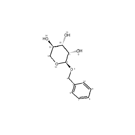 O[C@@H]1[C@@H](OCc2ccccc2)OC[C@@H](O)[C@@H]1O